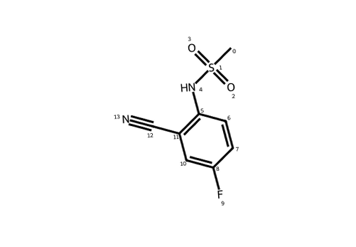 CS(=O)(=O)Nc1ccc(F)cc1C#N